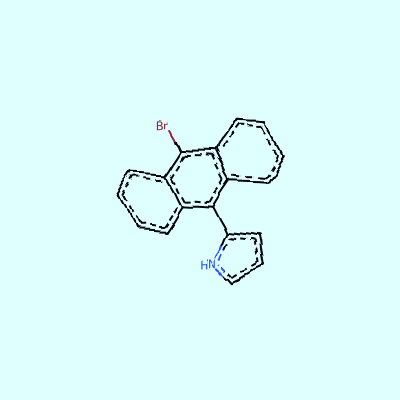 Brc1c2ccccc2c(-c2ccc[nH]2)c2ccccc12